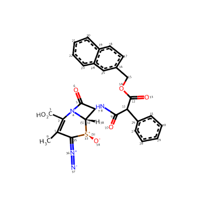 CC1=C(C(=O)O)N2C(=O)C(NC(=O)C(C(=O)OCc3ccc4ccccc4c3)c3ccccc3)[C@@H]2[S@@+]([O-])C1=[N+]=[N-]